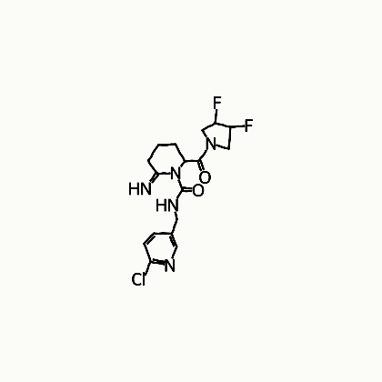 N=C1CCCC(C(=O)N2CC(F)C(F)C2)N1C(=O)NCc1ccc(Cl)nc1